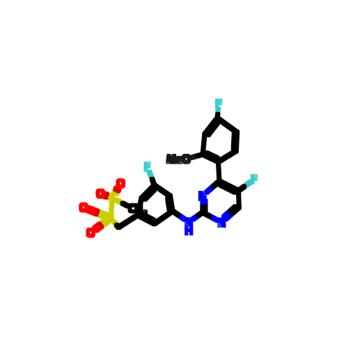 COc1cc(F)ccc1-c1nc(Nc2cc(F)cc(CS(=O)(=O)S(C)(=O)=O)c2)ncc1F